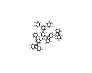 FC(F)(F)c1c(-n2c3ccccc3c3cc(-n4c5ccccc5c5ccccc54)ccc32)cc(-c2nc(-c3ccccc3)nc(-c3ccccc3)n2)cc1-n1c2ccccc2c2cc(-n3c4ccccc4c4ccccc43)ccc21